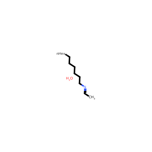 CC=NCCCCCCCCCCCC.O